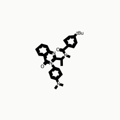 CC(c1nc2ccccc2c(=O)n1-c1ccc(N(C)C)cc1)N(C)C(=O)c1ccc(C(C)(C)C)cc1